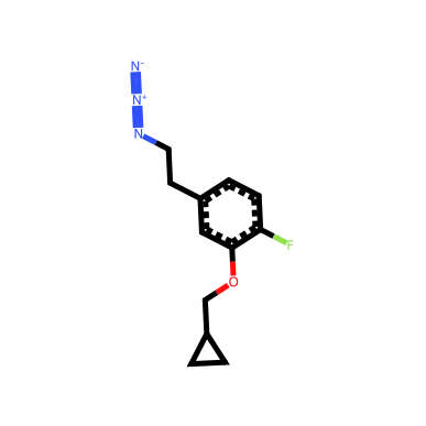 [N-]=[N+]=NCCc1ccc(F)c(OCC2CC2)c1